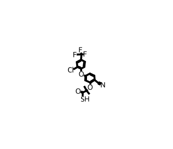 CC(C)(Oc1cc(Oc2ccc(C(F)(F)F)cc2Cl)ccc1C#N)C(=O)S